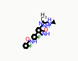 Cc1nc(-c2ccc(-c3ccc(NC(=O)c4ccccc4F)cc3F)c3c2C(=O)NC3)[nH]c1CNC1CC1